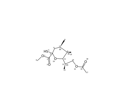 COC(=O)C1(S)C[C@@H](C)[C@@H](C)C([C@H](C)COC(C)=O)O1